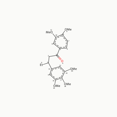 CCC(CC(=O)c1ccc(OC)c(OC)c1)c1cc(OC)c(OC)c(OC)c1